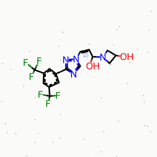 OC1CN(C(O)/C=C\n2cnc(-c3cc(C(F)(F)F)cc(C(F)(F)F)c3)n2)C1